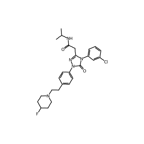 CC(C)NC(=O)Cc1nn(-c2ccc(CCN3CCC(F)CC3)cc2)c(=O)n1-c1cccc(Cl)c1